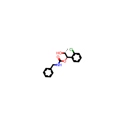 C[C@@H](O)[C@H](OC(=O)NCc1ccccc1)c1ccccc1Cl